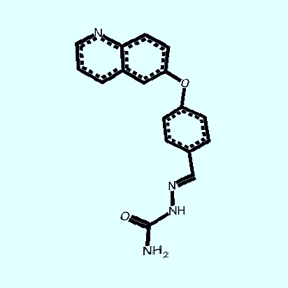 NC(=O)NN=Cc1ccc(Oc2ccc3ncccc3c2)cc1